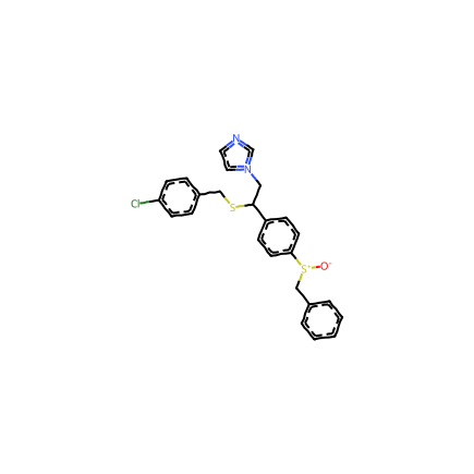 [O-][S+](Cc1ccccc1)c1ccc(C(Cn2ccnc2)SCc2ccc(Cl)cc2)cc1